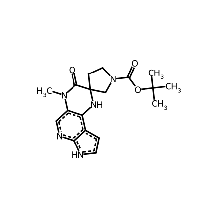 CN1C(=O)C2(CCN(C(=O)OC(C)(C)C)C2)Nc2c1cnc1[nH]ccc21